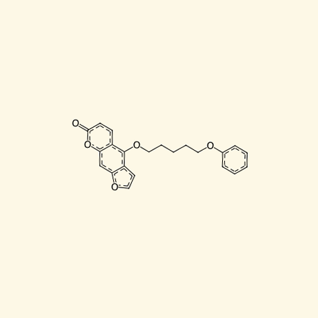 O=c1ccc2c(OCCCCCOc3ccccc3)c3ccoc3cc2o1